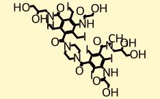 CN(CC(O)CO)C(=O)c1c(I)c(NC(=O)CO)c(I)c(C(=O)N2CCN(C(=O)c3c(CI)c(NC(=O)CO)c(CI)c(C(=O)NCC(O)CO)c3CI)CC2)c1I